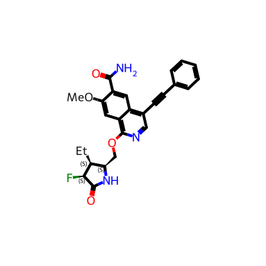 CC[C@@H]1[C@H](F)C(=O)N[C@@H]1COc1ncc(C#Cc2ccccc2)c2cc(C(N)=O)c(OC)cc12